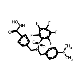 CN(C)c1ccc(CN(Cc2ccc(C(=O)NO)cc2)S(=O)(=O)c2c(F)c(F)c(F)c(F)c2F)cc1